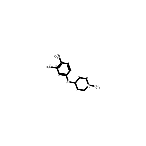 CN1CCC(Oc2ccc([N+](=O)[O-])c(N)c2)CC1